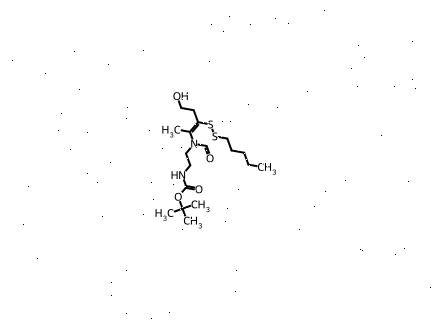 CCCCCSSC(CCO)=C(C)N(C=O)CCNC(=O)OC(C)(C)C